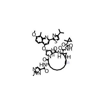 COc1ccc2c(O[C@@H]3C[C@H]4C(=O)N[C@]5(C(=O)NS(=O)(=O)C6(C)CC6)C[C@H]5/C=C\CCCCC[C@H](NC(=O)c5cnn(C)n5)C(=O)N4C3)cc(-c3nc(C(C)C)cs3)nc2c1C